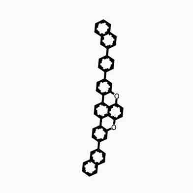 c1ccc2cc(-c3ccc(-c4ccc5c(c4)Oc4ccc6c7c(ccc-5c47)-c4ccc(-c5ccc7ccccc7c5)cc4O6)cc3)ccc2c1